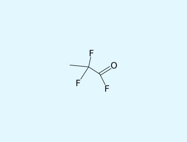 CC(F)(F)C(=O)F